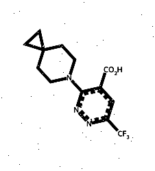 O=C(O)c1cc(C(F)(F)F)nnc1N1CCC2(CC1)CC2